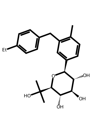 CCc1ccc(Cc2cc([C@@H]3O[C@H](C(C)(C)O)[C@@H](O)[C@H](O)[C@H]3O)ccc2C)cc1